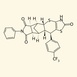 O=C1[C@@H]2[C@H]3C[C@H]([C@@H]4Sc5[nH]c(=O)sc5[C@@H](c5ccc(C(F)(F)F)cc5)[C@H]34)[C@@H]2C(=O)N1c1ccccc1